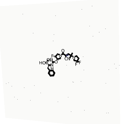 CC(C)(/C=C(\C#N)C(=O)N1C[C@H](OC(=O)N[C@@H](Cc2ccccc2)B(O)O)[C@@H](F)C1)N1CCC(F)(F)C1